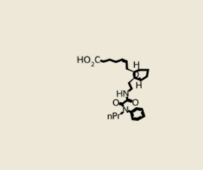 CCCN(C(=O)C(=O)NCC[C@H]1[C@@H](C/C=C\CCCC(=O)O)[C@H]2CC[C@@H]1O2)c1ccccc1